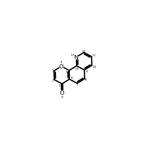 O=c1ccoc2c1ccc1cccnc12